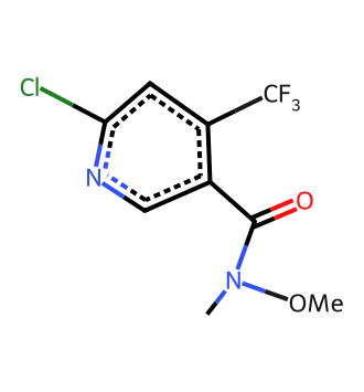 CON(C)C(=O)c1cnc(Cl)cc1C(F)(F)F